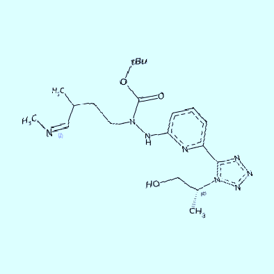 C/N=C\C(C)CCN(Nc1cccc(-c2nnnn2[C@H](C)CO)n1)C(=O)OC(C)(C)C